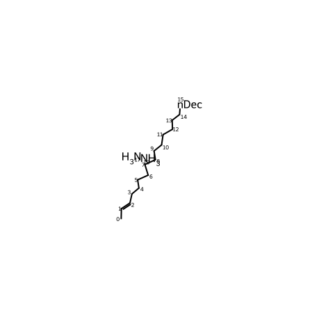 C/C=C/CCCCCCCCCCCCCCCCCCCCCC.N.N